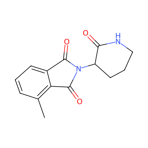 Cc1cccc2c1C(=O)N(C1CCCNC1=O)C2=O